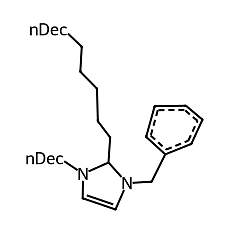 CCCCCCCCCCCCCCCC1N(CCCCCCCCCC)C=CN1Cc1ccccc1